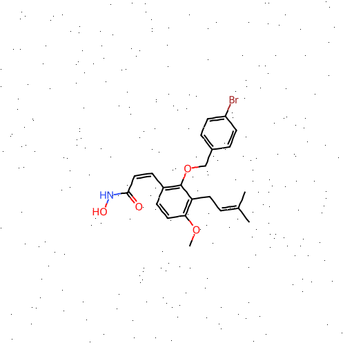 COc1ccc(/C=C\C(=O)NO)c(OCc2ccc(Br)cc2)c1CC=C(C)C